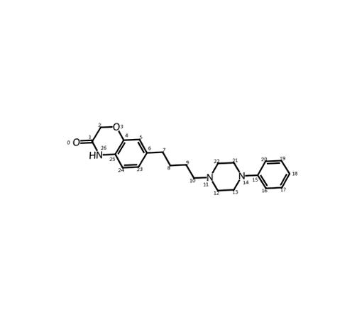 O=C1COc2cc(CCCCN3CCN(c4ccccc4)CC3)ccc2N1